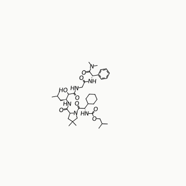 CC(C)COC(=O)N[C@H](C(=O)N1CC(C)(C)CC1C(=O)N[C@@H](CC(C)C)C(O)C(=O)NCC(=O)N[C@H](C(=O)N(C)C)c1ccccc1)C1CCCCC1